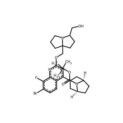 CC(C)(C)OC(=O)N1[C@@H]2CC[C@H]1CN(c1nc(OCC34CCCN3C(CO)CC4)nc3c(F)c(Br)ccc13)C2